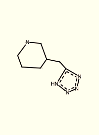 [CH]1CC[N]CC1Cc1nnn[nH]1